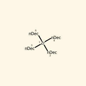 CCCCCCCCC[CH2][Zr]([CH2]CCCCCCCCC)([CH2]CCCCCCCCC)[CH2]CCCCCCCCC